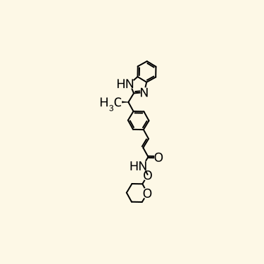 C[C@H](c1ccc(/C=C/C(=O)NOC2CCCCO2)cc1)c1nc2ccccc2[nH]1